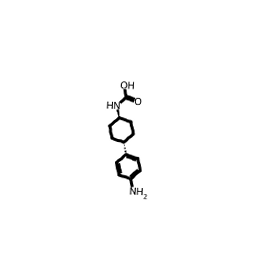 Nc1ccc([C@H]2CC[C@H](NC(=O)O)CC2)cc1